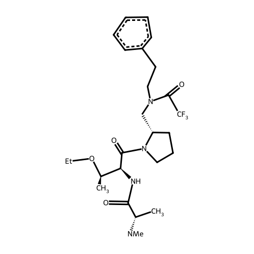 CCO[C@H](C)[C@H](NC(=O)[C@H](C)NC)C(=O)N1CCC[C@H]1CN(CCc1ccccc1)C(=O)C(F)(F)F